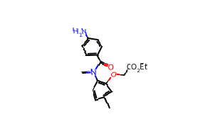 CCOC(=O)COc1cc(C)ccc1N(C)C(=O)c1ccc(N)cc1